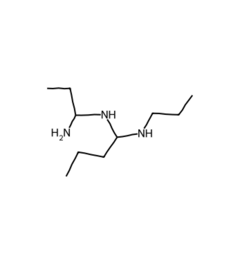 CCCNC(CCC)NC(N)CC